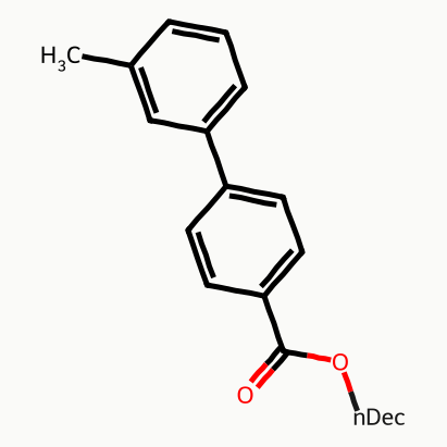 CCCCCCCCCCOC(=O)c1ccc(-c2cccc(C)c2)cc1